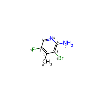 Cc1c(F)[c]nc(N)c1Br